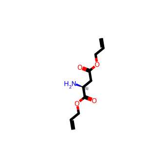 C=CCOC(=O)C[C@H](N)C(=O)OCC=C